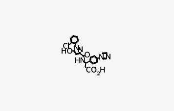 O=C(O)CC(NC(=O)c1cc(O)n(-c2ccccc2Cl)n1)c1ccc(-n2ccnc2)cc1